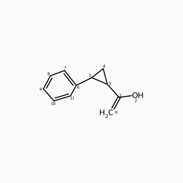 C=C(O)C1CC1c1ccccc1